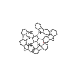 N#Cc1c(-n2c3ccccc3c3ccccc32)c(-c2ccc3oc4ccccc4c3c2)c(-n2c3ccccc3c3ccccc32)c(C#N)c1-n1c2ccccc2c2ccc3oc4ccccc4c3c21